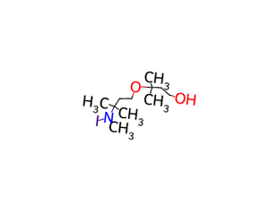 CN(I)C(C)(C)CCOC(C)(C)CCO